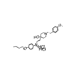 CCCCOc1ccc(N(C)CCC2(O)CCN(CCc3ccc(OC)cc3)CC2)cc1.Cl.Cl